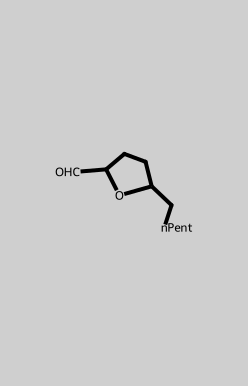 CCCCCCC1CCC(C=O)O1